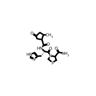 CC1CC(=O)CC1C(=O)N[C@@H](Cc1c[nH]cn1)C(=O)N1CSCC1C(N)=O